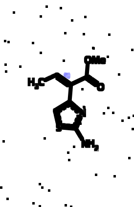 C/C=C(/C(=O)OC)c1csc(N)n1